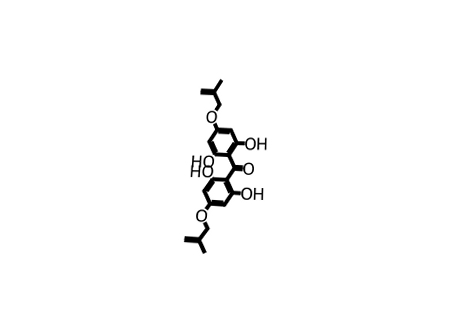 C=C(C)COc1cc(O)c(C(=O)c2c(O)cc(OCC(=C)C)cc2O)c(O)c1